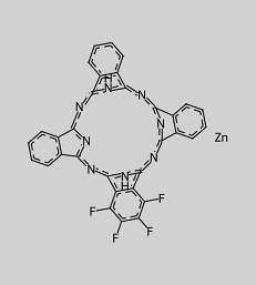 Fc1c(F)c(F)c2c3nc4nc(nc5[nH]c(nc6nc(nc([nH]3)c2c1F)-c1ccccc1-6)c1ccccc51)-c1ccccc1-4.[Zn]